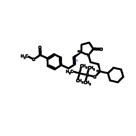 COC(=O)c1ccc(C/C=C/[C@H]2CCC(=O)N2CC[C@H](O[Si](C)(C)C(C)(C)C)C2CCCCC2)cc1